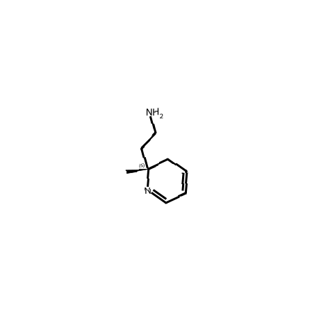 C[C@@]1(CCN)CC=CC=N1